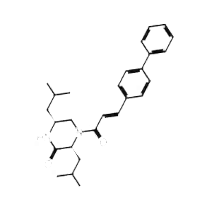 CC(C)C[C@H]1CN(C(=O)C=Cc2ccc(-c3ccccc3)cc2)[C@@H](CC(C)C)C(=O)N1